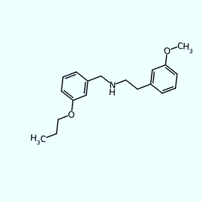 CCCOc1cccc(CNCCc2cccc(OC)c2)c1